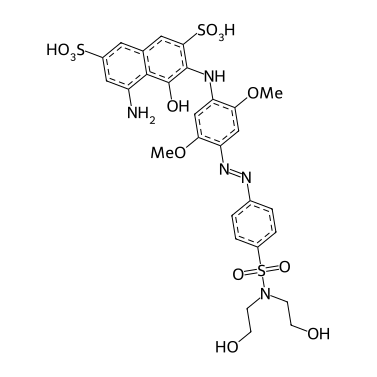 COc1cc(Nc2c(S(=O)(=O)O)cc3cc(S(=O)(=O)O)cc(N)c3c2O)c(OC)cc1/N=N/c1ccc(S(=O)(=O)N(CCO)CCO)cc1